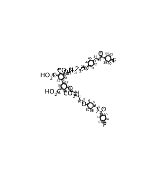 O=C(C=Cc1ccc(OCCCCCCOc2cc(-c3cc(OCCCCCCOc4ccc(C=CC(=O)c5ccc(F)cc5)cc4)c(C(=O)O)c(C(=O)O)c3)cc(C(=O)O)c2C(=O)O)cc1)c1ccc(F)cc1